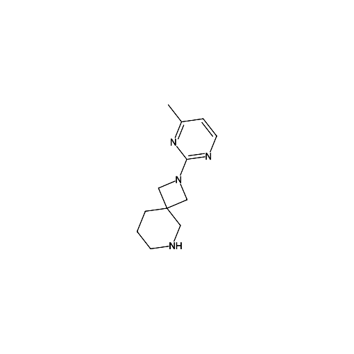 Cc1ccnc(N2CC3(CCCNC3)C2)n1